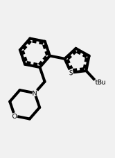 CC(C)(C)c1ccc(-c2ccccc2CN2CCOCC2)s1